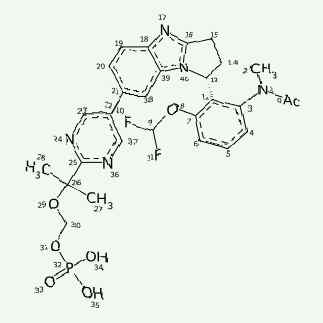 CC(=O)N(C)c1cccc(OC(F)F)c1[C@H]1CCc2nc3ccc(-c4cnc(C(C)(C)OCOP(=O)(O)O)nc4)cc3n21